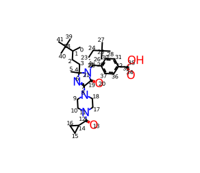 CC(CCC1(C)N=C(N2CCN(C(=O)C3CC3)CC2)C(=O)N1[C@H](CCC(C)(C)C)c1ccc(C(=O)O)cc1)C(C)(C)C